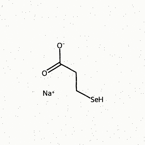 O=C([O-])CC[SeH].[Na+]